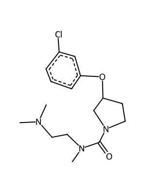 CN(C)CCN(C)C(=O)N1CCC(Oc2cccc(Cl)c2)C1